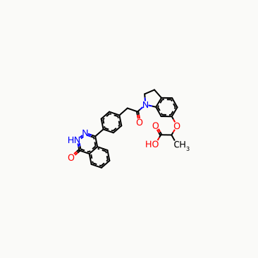 CC(Oc1ccc2c(c1)N(C(=O)Cc1ccc(-c3n[nH]c(=O)c4ccccc34)cc1)CC2)C(=O)O